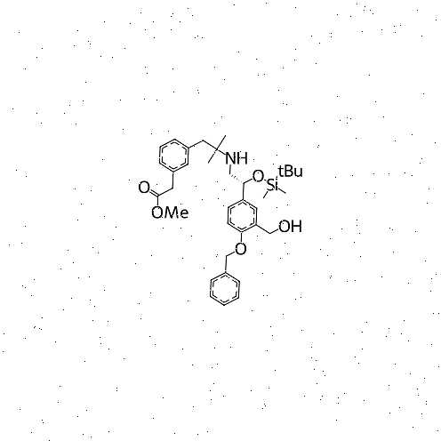 COC(=O)Cc1cccc(CC(C)(C)NC[C@H](O[Si](C)(C)C(C)(C)C)c2ccc(OCc3ccccc3)c(CO)c2)c1